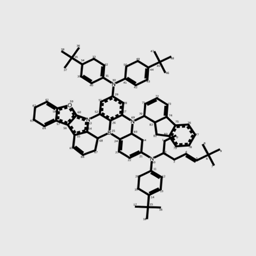 CCC(C/C=C/C(C)(C)C)N(C1=CC=C(C(C)(C)C)CC1)C1=CC=C2B3c4c(cc(N(C5=CCC(C(C)(C)C)C=C5)C5=CC=C(C(C)(C)C)CC5)cc4-n4c5c(c6c7c(oc64)=CCCC=7)C=CCC35)N(C3C=CC=C4c5ccccc5CC43)C2C1